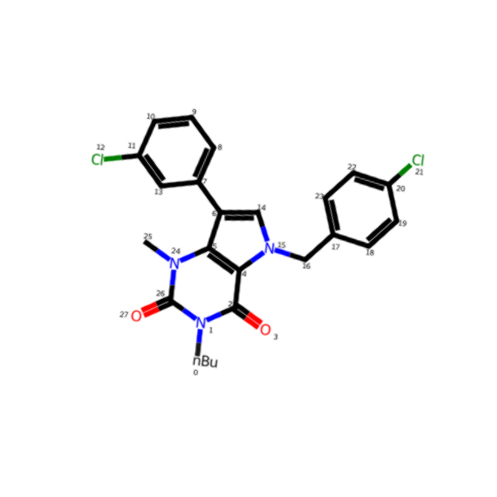 CCCCn1c(=O)c2c(c(-c3cccc(Cl)c3)cn2Cc2ccc(Cl)cc2)n(C)c1=O